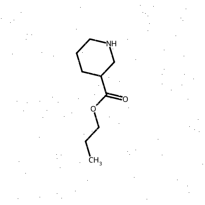 CCCOC(=O)C1CCCNC1